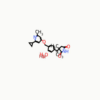 Br.Cc1cc(OCc2ccc([C@@H](C)[C@]3(C)CC(=O)NC3=O)cc2)cc(C2CC2)n1.O